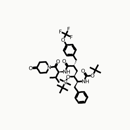 CC(C)[C@H](NC(=O)[C@H](Cc1ccc(OC(F)(F)F)cc1)C[C@H](O[Si](C)(C)C(C)(C)C)[C@H](Cc1ccccc1)NC(=O)OC(C)(C)C)C(=O)N1CCC(=O)CC1